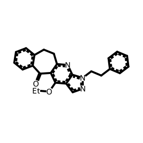 CCOc1c2c(nc3c1cnn3CCc1ccccc1)CCc1ccccc1C2=O